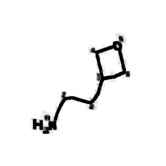 NCCC1COC1